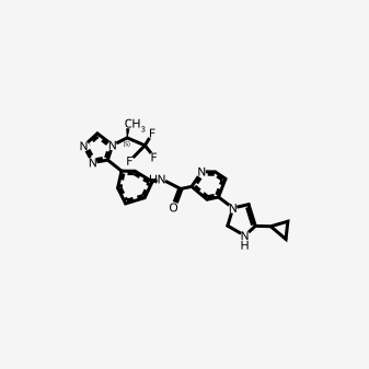 C[C@H](n1cnnc1-c1cccc(NC(=O)c2cc(N3C=C(C4CC4)NC3)ccn2)c1)C(F)(F)F